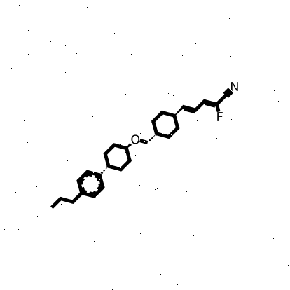 CCCc1ccc([C@H]2CC[C@H](OC[C@H]3CC[C@H](C=CC=C(F)C#N)CC3)CC2)cc1